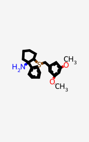 COc1cc(CSC2CCCCC2(N)c2ccccc2)cc(OC)c1